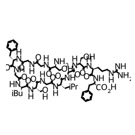 CC[C@H](C)[C@H](NC(=O)CNC(=O)[C@H](Cc1ccccc1)NC(=O)CNC(=O)CNC(=O)[C@@H](N)CO)C(=O)N[C@@H](CO)C(=O)NCC(=O)N[C@@H](CC(C)C)C(=O)NCC(=O)N[C@@H](CO)C(=O)N[C@@H](CCCNC(=N)N)C(=O)N[C@@H](Cc1ccccc1)C(=O)O